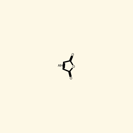 O=C1C=CC(=O)O1.[AlH3]